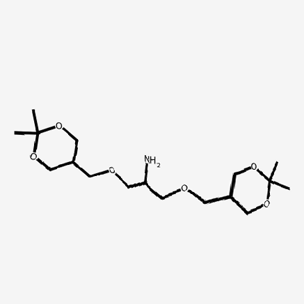 CC1(C)OCC(COCC(N)COCC2COC(C)(C)OC2)CO1